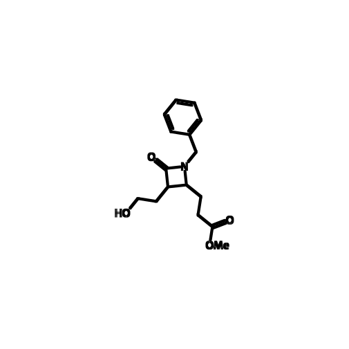 COC(=O)CCC1C(CCO)C(=O)N1Cc1ccccc1